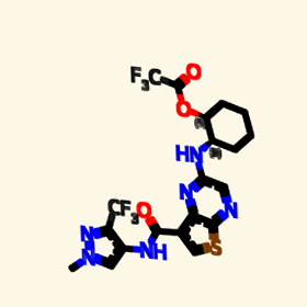 Cn1cc(NC(=O)c2csc3ncc(N[C@@H]4CCCC[C@@H]4OC(=O)C(F)(F)F)nc23)c(C(F)(F)F)n1